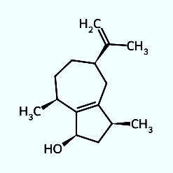 C=C(C)[C@@H]1CC[C@H](C)C2=C(C1)[C@@H](C)C[C@H]2O